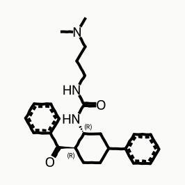 CN(C)CCCNC(=O)N[C@@H]1CC(c2ccccc2)CC[C@H]1C(=O)c1ccccc1